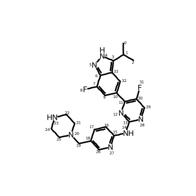 CC(C)c1[nH]nc2c(F)cc(-c3nc(Nc4ccc(CN5CCNCC5)cn4)ncc3F)cc12